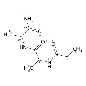 CCC(=O)NC(C)C(=O)NC(C)C(N)=O